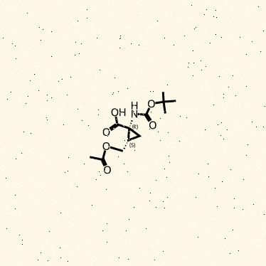 CC(=O)OC[C@H]1C[C@]1(NC(=O)OC(C)(C)C)C(=O)O